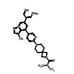 CN/C=C(\C=N)c1cc(-c2ccc(N3CCC4(CC3)CN(C(=O)N(C)C)C4)nc2)c2c(C#N)cnn2c1